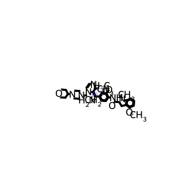 C=C(N1CCN(C2CCOCC2)CC1)N1C=CN=C(C)/C1=C(/N)c1ccc(NC(=O)C2Cc3c(OC)cccc3N2C)c(OC)c1